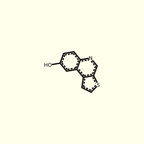 Oc1ccc2ncc3sccc3c2c1